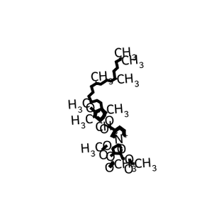 CC(=O)OCC1OC([n+]2cccc(C(=O)Oc3c(C)c(C)c4c(c3C)CCC(C)(CCC[C@H](C)CCC[C@H](C)CCCC(C)C)O4)c2)C(OC(C)=O)C1OC(C)=O